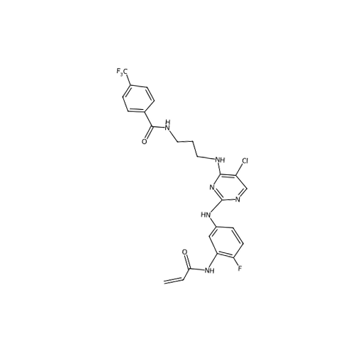 C=CC(=O)Nc1cc(Nc2ncc(Cl)c(NCCCNC(=O)c3ccc(C(F)(F)F)cc3)n2)ccc1F